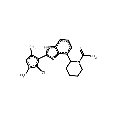 Cc1nn(C)c(Cl)c1-c1nc2c(C3CCCCN3C(N)=O)cccc2[nH]1